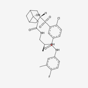 Cc1cc(NC(=O)c2ccc(Cl)c(S(=O)(=O)[C@H]3CC4CC(C3)[C@]4(O)CC(=O)NC[C@H](C)O)c2)ccc1F